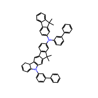 CC1(C)c2ccccc2-c2ccc(N(c3cccc(-c4ccccc4)c3)c3ccc4c(c3)C(C)(C)c3cc5c(cc3-4)C3CC=CC=C3N5c3cccc(-c4ccccc4)c3)cc21